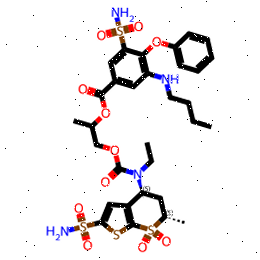 CCCCNc1cc(C(=O)OC(C)COC(=O)N(CC)[C@H]2C[C@H](C)S(=O)(=O)c3sc(S(N)(=O)=O)cc32)cc(S(N)(=O)=O)c1Oc1ccccc1